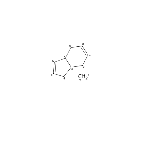 C1=CCC2CC=CC2C1.[CH2]